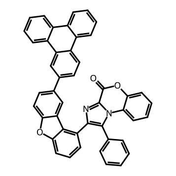 O=c1oc2ccccc2n2c(-c3ccccc3)c(-c3cccc4oc5ccc(-c6ccc7c8ccccc8c8ccccc8c7c6)cc5c34)nc12